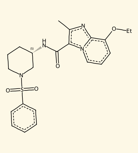 CCOc1cccn2c(C(=O)N[C@H]3CCCN(S(=O)(=O)c4ccccc4)C3)c(C)nc12